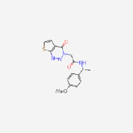 COc1ccc([C@H](C)NC(=O)Cn2nnc3sccc3c2=O)cc1